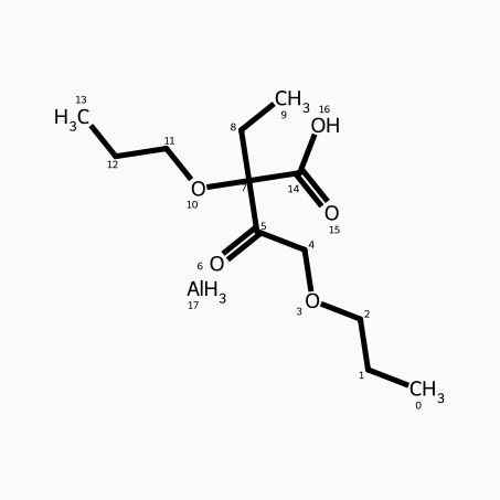 CCCOCC(=O)C(CC)(OCCC)C(=O)O.[AlH3]